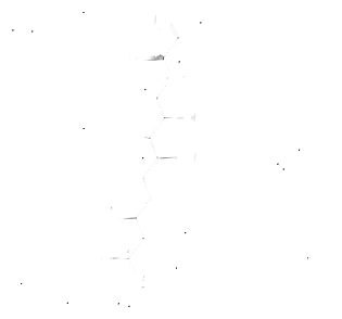 C=CC(=O)OCC(O)CC(O)CCC(O)CC(O)CC